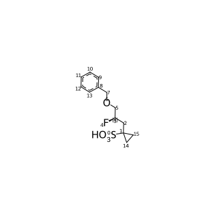 O=S(=O)(O)C1(C[C@@H](F)COCc2ccccc2)CC1